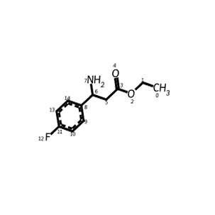 CCOC(=O)CC(N)c1ccc(F)cc1